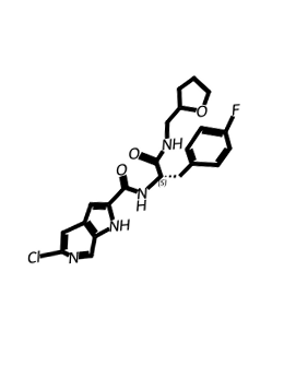 O=C(N[C@@H](Cc1ccc(F)cc1)C(=O)NCC1CCCO1)c1cc2cc(Cl)ncc2[nH]1